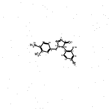 Cc1cc(Cn2nnc(=O)n2-c2ccc(Br)cc2F)ccc1N